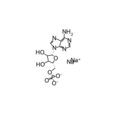 Nc1ncnc2c1ncn2[C@@H]1O[C@H](COP(=O)([O-])[O-])C(O)C1O.[Na+].[Na+]